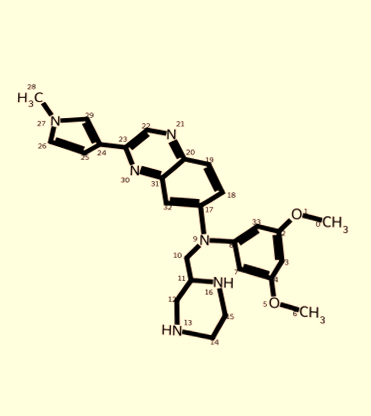 COc1cc(OC)cc(N(CC2CNCCN2)c2ccc3ncc(-c4ccn(C)c4)nc3c2)c1